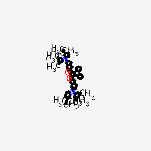 Cc1cc(C)cc(N(c2cccc(C(C)(C)C)c2)c2ccc3cc4c(cc3c2)oc2c3oc5cc6cc(N(c7cc(C)cc(C)c7)c7cccc(C(C)(C)C)c7)ccc6cc5c3c(-c3ccccc3)c(-c3ccccc3)c42)c1